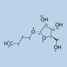 CCCCO[C@H]1O[C@H](CO)[C@@H](O)[C@H]1O